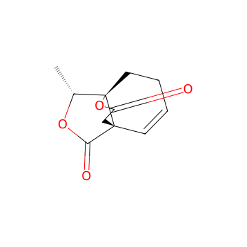 C[C@H]1OC(=O)[C@@]23C=CCC[C@@]12OC(=O)C3